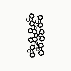 c1ccc(C2(c3ccccc3)c3cc(N(c4ccc5oc6ccccc6c5c4)c4cccc5c4oc4ccccc45)c4ccccc4c3-c3c2cc(N(c2ccc4oc5ccccc5c4c2)c2cccc4c2oc2ccccc24)c2ccccc32)cc1